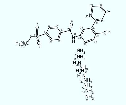 CCS(=O)(=O)c1ccc(C(=O)Nc2ccc(Cl)c(-c3ccccn3)c2)cc1.N.N.N.N.N.N.N.N.N.N.N